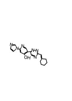 Oc1cc(-n2ccnc2)ncc1-c1cnc(C=C2CCCCC2)nn1